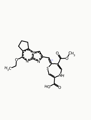 CCOc1nc2nc(/C=C3\SC=C(C(=O)O)NC=C3C(=O)OC)cn2c2c1CCC2